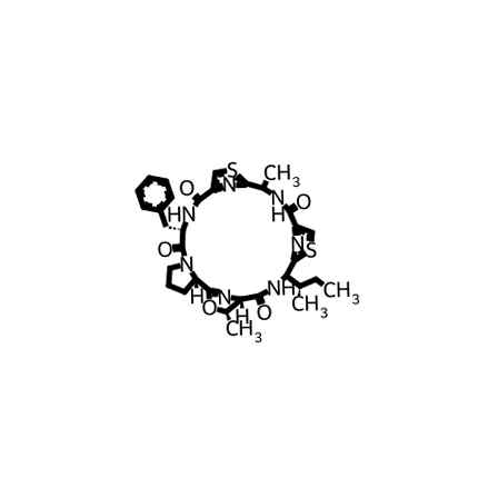 CC[C@H](C)C1NC(=O)[C@H]2N=C(O[C@@H]2C)[C@@H]2CCCN2C(=O)[C@H](Cc2ccccc2)NC(=O)c2csc(n2)C(C)NC(=O)c2csc1n2